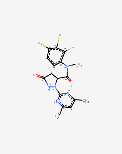 Cc1cc(C(F)(F)F)nc(N2NC(=O)CC2C(=O)N(C)c2ccc(F)c(F)c2F)n1